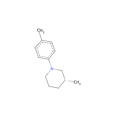 Cc1ccc(N2CCC[C@@H](C)C2)cc1